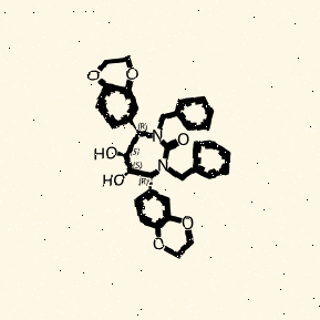 O=C1N(Cc2ccccc2)[C@H](c2ccc3c(c2)OCCO3)[C@H](O)[C@@H](O)[C@@H](c2ccc3c(c2)OCCO3)N1Cc1ccccc1